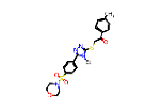 CCn1c(SCC(=O)c2ccc(C)cc2)nnc1-c1ccc(S(=O)(=O)N2CCOCC2)cc1